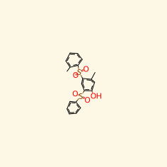 Cc1ccccc1S(=O)(=O)c1cc(S(=O)(=O)c2ccccc2)c(O)cc1C